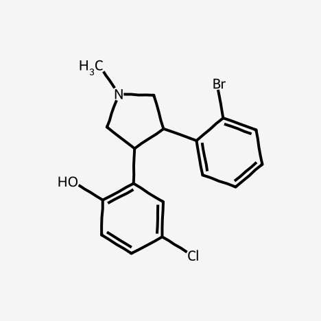 CN1CC(c2cc(Cl)ccc2O)C(c2ccccc2Br)C1